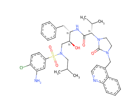 CC(C)CN(C[C@H](O)[C@H](Cc1ccccc1)NC(=O)[C@H](C(C)C)N1CCN(Cc2ccnc3ccccc23)C1=O)S(=O)(=O)c1ccc(Cl)c(N)c1